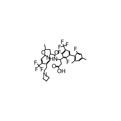 Cc1cc(C)c(-c2cc(C(F)(F)F)c(F)c(C(CC(=O)O)NC(=O)C(CC(C)C)n3cc(CCN4CCC4)c(C(F)(F)F)cc3=O)c2F)c(F)c1